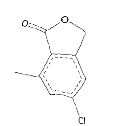 Cc1cc(Cl)cc2c1C(=O)OC2